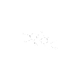 CCN(CC)C(=O)c1ccc(-c2c(C#N)cc(O)c(O)c2C#N)cc1